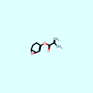 C=C(C)C(=O)OC1=CC2OC2CC1